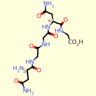 NC(=O)C[C@H](NC(=O)CNC(=O)CNC(=O)[C@@H](N)CC(N)=O)C(=O)NCC(=O)O